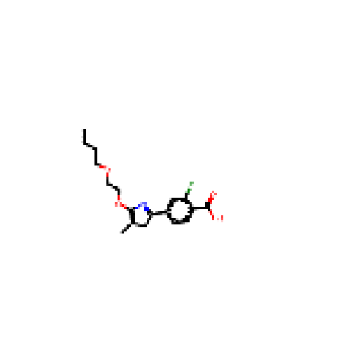 CCCCOCCOC1=C(C)CC(c2ccc(C(=O)O)c(F)c2)=N1